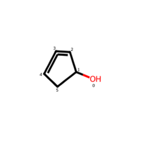 OC1C=C=CC1